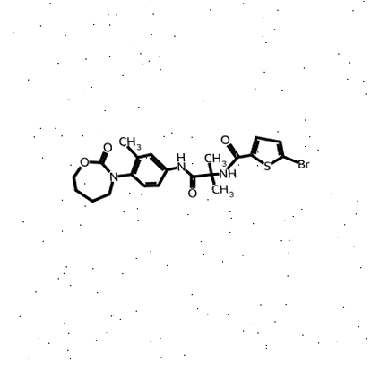 Cc1cc(NC(=O)C(C)(C)NC(=O)c2ccc(Br)s2)ccc1N1CCCCOC1=O